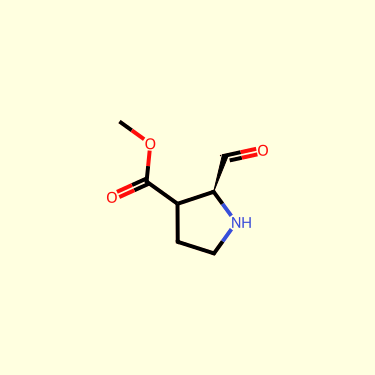 COC(=O)C1CCN[C@@H]1[C]=O